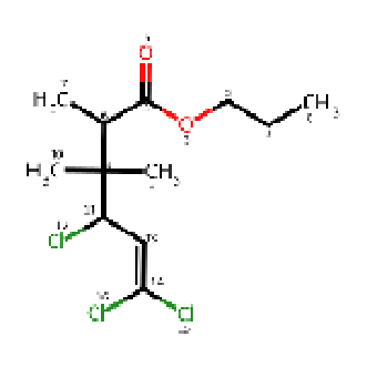 CCCOC(=O)C(C)C(C)(C)C(Cl)C=C(Cl)Cl